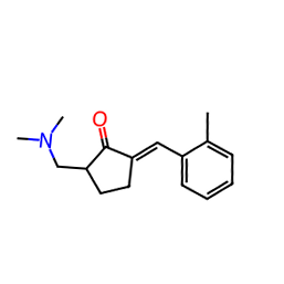 Cc1ccccc1C=C1CCC(CN(C)C)C1=O